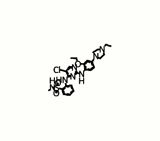 CCOc1cc(N2CCN(CC)CC2)ccc1Nc1ncc(Cl)c(Nc2ccccc2S(=O)(=O)NC)n1